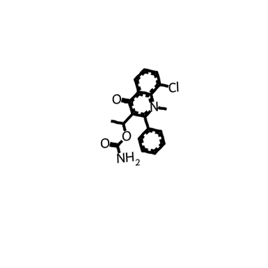 CC(OC(N)=O)c1c(-c2ccccc2)n(C)c2c(Cl)cccc2c1=O